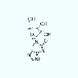 O=c1nc2[nH]cnc2cn1[C@@H]1O[C@H](CO)C(O)[C@@H]1O